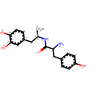 NC(Cc1ccc(O)cc1)C(=O)N[C@@H](Cc1ccc(O)c(O)c1)C(=O)O